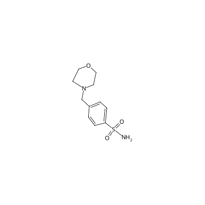 NS(=O)(=O)c1ccc(CN2CCOCC2)cc1